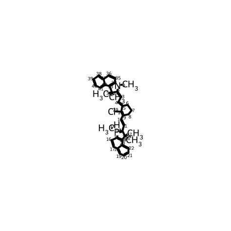 CN1/C(=C/C=C2\CCCC(/C=C/C3=[PH](C)c4ccc5ccccc5c4C3(C)C)=C2Cl)C(C)(C)c2c1ccc1ccccc21